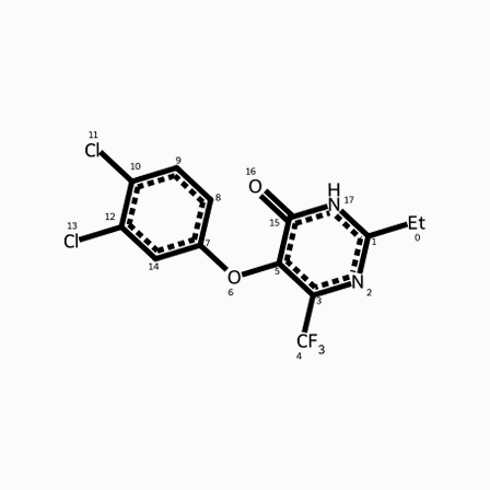 CCc1nc(C(F)(F)F)c(Oc2ccc(Cl)c(Cl)c2)c(=O)[nH]1